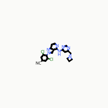 N#Cc1cc(Cl)c(-n2cc3c(Nc4cc(CN5CCC5)ncn4)nccc3n2)c(Cl)c1